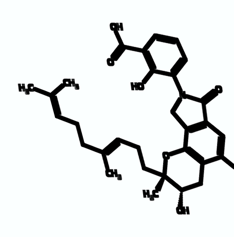 CC(C)=CCC/C(C)=C/CC[C@]1(C)Oc2c(c(O)cc3c2CN(c2cccc(C(=O)O)c2O)C3=O)C[C@@H]1O